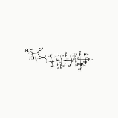 C=C(C)C(=O)OCCC(F)(F)C(F)(F)C(F)(F)C(F)(F)C(F)(F)C(F)(F)C(F)(C(F)(F)F)C(F)(F)F